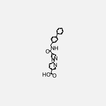 O=C(O)c1ccc(-n2cc(C(=O)NCc3ccc(-c4ccccc4)cc3)cn2)nc1